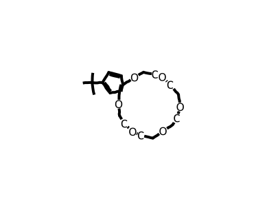 CC(C)(C)c1ccc2c(c1)OCCOCCOCCOCCOCCO2